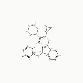 N=C(C1CNCCO1)N(Cc1cn(Cc2ccccn2)c2ccccc12)C1CC1